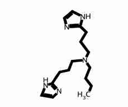 CCCCN(CCCc1ncc[nH]1)CCCc1ncc[nH]1